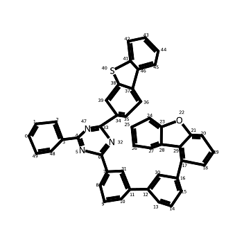 c1ccc(-c2nc(-c3cccc(-c4cccc(-c5cccc6oc7ccccc7c56)c4)c3)nc(-c3ccc4c(c3)sc3ccccc34)n2)cc1